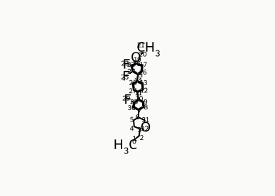 CCCC1CCC(c2ccc(-c3ccc(-c4ccc(OCC)c(F)c4F)cc3)c(F)c2)CO1